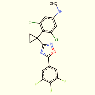 O=CNc1cc(Cl)c(C2(c3noc(-c4cc(F)c(F)c(F)c4)n3)CC2)c(Cl)c1